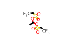 CC(OS(=O)(=O)CC(F)(F)F)OS(=O)(=O)CC(F)(F)F